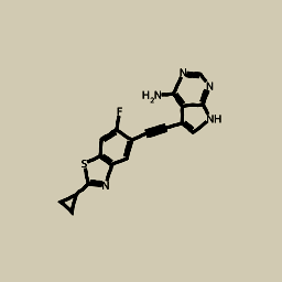 Nc1ncnc2[nH]cc(C#Cc3cc4nc(C5CC5)sc4cc3F)c12